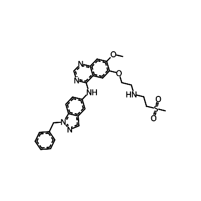 COc1cc2ncnc(Nc3ccc4c(cnn4Cc4ccccc4)c3)c2cc1OCCNCCS(C)(=O)=O